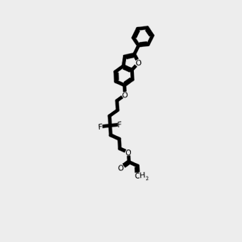 C=CC(=O)OCCCC(F)(F)CCCOc1ccc2cc(-c3ccccc3)oc2c1